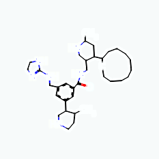 CC1CC(C2CCCCCCCCCC2)C(CNC(=O)c2cc(CNC3=NCCN3)cc(C3CNCCC3C)c2)CN1